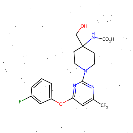 O=C(O)NC1(CO)CCN(c2nc(Oc3cccc(F)c3)cc(C(F)(F)F)n2)CC1